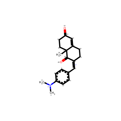 CN(C)c1ccc(/C=C2/CCC3=CC(=O)CCC3(C)C2=O)cc1